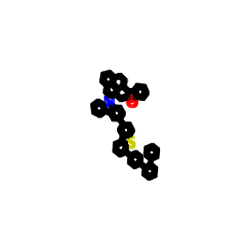 C1=C2Oc3ccccc3C2C2=CCc3cccc4cc(-n5c6ccccc6c6cc(-c7ccc8sc9c(-c%10ccc(-c%11ccccc%11-c%11ccccc%11)cc%10)cccc9c8c7)ccc65)c1c2c34